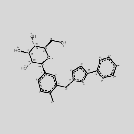 Cc1ccc([C@@H]2O[C@H](CO)[C@@H](O)[C@H](O)[C@H]2O)cc1Cc1ccc(-c2ncccn2)s1